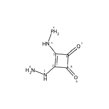 NNc1c(NP)c(=O)c1=O